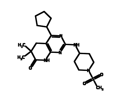 CC1(C)Cc2c(nc(NC3CCN(S(C)(=O)=O)CC3)nc2C2CCCC2)NC1=O